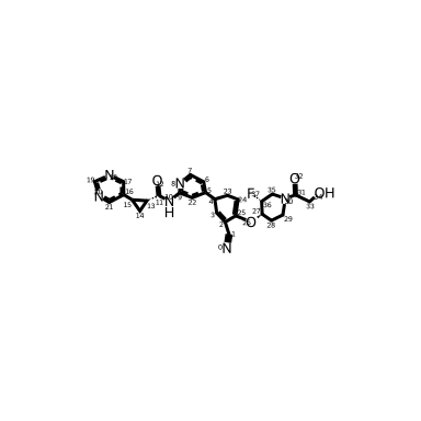 N#CC1=CC(c2ccnc(NC(=O)[C@@H]3CC3c3cncnc3)c2)CC=C1O[C@H]1CCN(C(=O)CO)C[C@H]1F